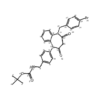 CC(C)(C)OC(=O)NCc1ccc(N2C(=O)CC(=O)N(Cc3ccc(Br)cc3)c3ccccc32)cc1